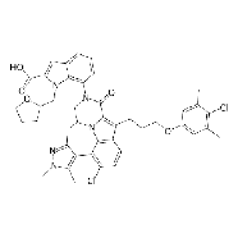 Cc1cc(OCCCc2c3n(c4c(-c5c(C)nn(C)c5C)c(Cl)ccc24)C(C)CN(c2cccc4cc(C(=O)O)n(CC5CCCO5)c24)C3=O)cc(C)c1Cl